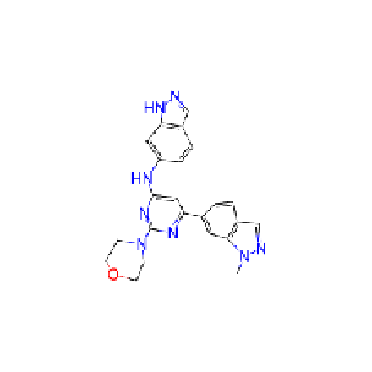 Cn1ncc2ccc(-c3cc(Nc4ccc5cn[nH]c5c4)nc(N4CCOCC4)n3)cc21